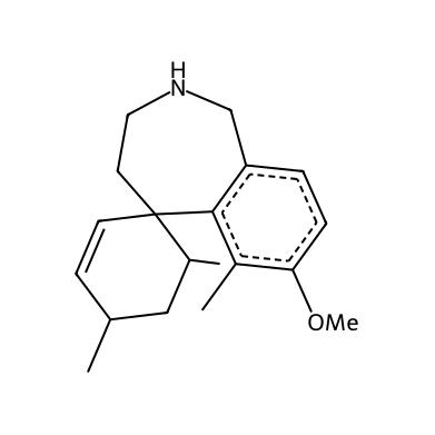 COc1ccc2c(c1C)C1(C=CC(C)CC1C)CCNC2